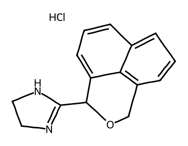 Cl.c1cc2c3c(cccc3c1)C(C1=NCCN1)OC2